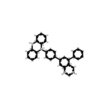 c1ccc(-c2cc(-c3ccc(N4c5ccccc5Sc5ccccc54)cc3)cc3ncncc23)cc1